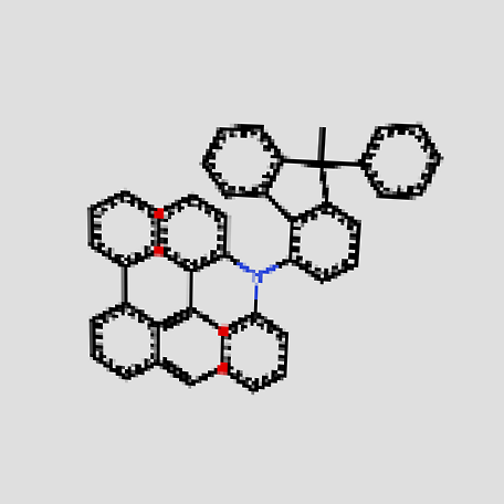 CC1(c2ccccc2)c2ccccc2-c2c(N(c3ccccc3)c3ccccc3C3=c4c(-c5ccccc5)cccc4=CCC3)cccc21